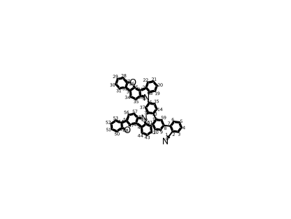 N#Cc1ccccc1-c1cccc(-c2ccc(-n3c4ccccc4c4c5oc6ccccc6c5ccc43)cc2-n2c3ccccc3c3c4oc5ccccc5c4ccc32)c1